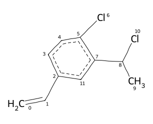 C=Cc1ccc(Cl)c(C(C)Cl)c1